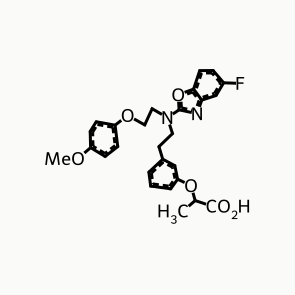 COc1ccc(OCCN(CCc2cccc(OC(C)C(=O)O)c2)c2nc3cc(F)ccc3o2)cc1